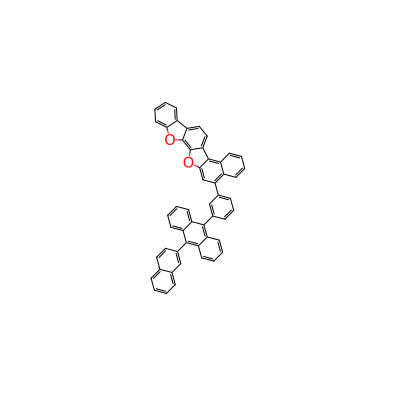 c1cc(-c2c3ccccc3c(-c3ccc4ccccc4c3)c3ccccc23)cc(-c2cc3oc4c(ccc5c6ccccc6oc54)c3c3ccccc23)c1